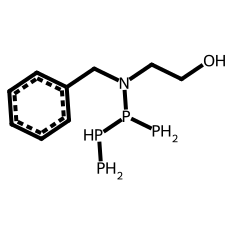 OCCN(Cc1ccccc1)P(P)PP